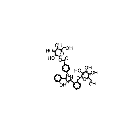 O=C(O[C@@H]1O[C@H](CO)[C@H](O)[C@H](O)[C@H]1O)c1ccc(-n2nc(-c3ccccc3O[C@@H]3O[C@H](CO)[C@H](O)[C@H](O)[C@H]3O)nc2-c2ccccc2O)cc1